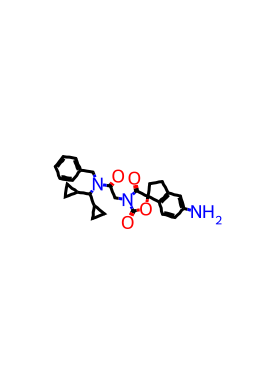 Nc1ccc2c(c1)CCC21OC(=O)N(CC(=O)N(Cc2ccccc2)C(C2CC2)C2CC2)C1=O